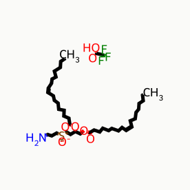 CCCCCCCC/C=C\CCCCCCCC(=O)OCC(CC[S+]([O-])CCCN)OC(=O)CCCCCCC/C=C\CCCCCCCC.O=C(O)C(F)(F)F